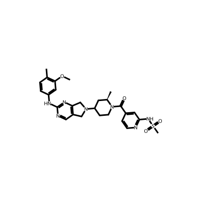 COc1cc(Nc2ncc3c(n2)CN(C2CCN(C(=O)c4ccnc(NS(C)(=O)=O)c4)[C@H](C)C2)C3)ccc1C